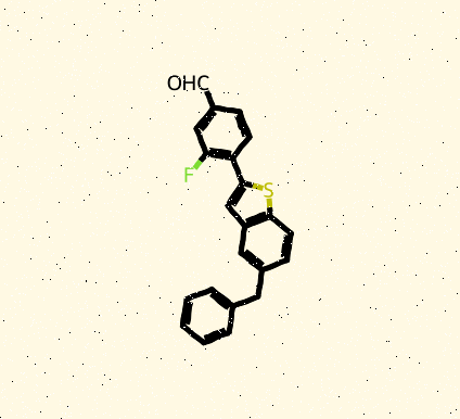 O=Cc1ccc(-c2cc3cc(Cc4ccccc4)ccc3s2)c(F)c1